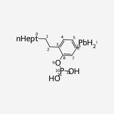 CCCCCCCCCc1ccccc1OP(O)O.[PbH2]